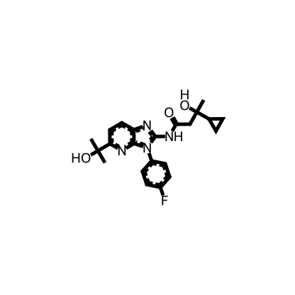 CC(C)(O)c1ccc2nc(NC(=O)CC(C)(O)C3CC3)n(-c3ccc(F)cc3)c2n1